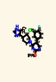 Cc1[nH]cnc1C1CCN(c2nc(OC(C)C)ncc2-c2ccc(F)c(Cl)c2)CC1